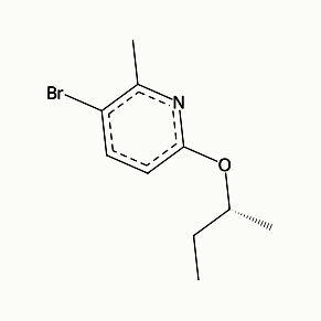 CC[C@@H](C)Oc1ccc(Br)c(C)n1